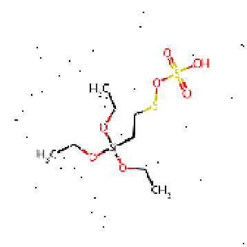 CCO[Si](CCSOS(=O)(=O)O)(OCC)OCC